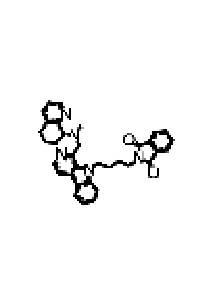 CN(Cc1nccc2c3ccccc3n(CCCCN3C(=O)c4ccccc4C3=O)c12)[C@H]1CCCc2cccnc21